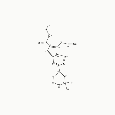 CCOC(=O)c1cc2cc(C3CCOC(C)(C)C3)ccn2c1CC#N